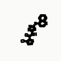 O=C(Nc1nnc(Sc2ccnc3ccccc23)s1)c1sccc1Cl